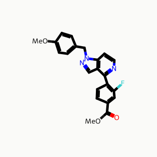 COC(=O)c1ccc(-c2nccc3c2cnn3Cc2ccc(OC)cc2)c(F)c1